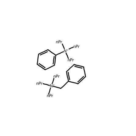 CCC[N+](CCC)(CCC)Cc1ccccc1.CCC[N+](CCC)(CCC)c1ccccc1